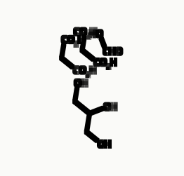 O=C(O)CC(=O)O.O=C(O)CC(=O)O.O=CO.OCC(O)CO